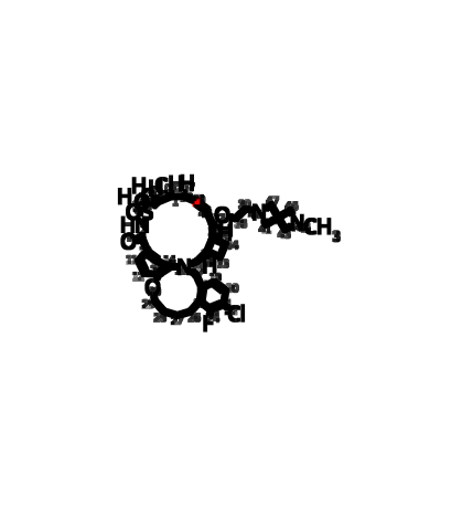 C[C@@H]1[C@@H](C)S(=O)(=O)NC(=O)c2ccc3c(c2)N(Cc2ccc(Cl)c(F)c2CCCCO3)C[C@@H]2CC[C@H]2[C@@H](OCCN2CC3(CN(C)C3)C2)C2=C[C@H]1C2